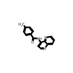 Cc1ccc(C(=O)Nc2ccnc3cccnc23)cc1